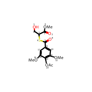 COC(=O)C(CO)SC(=O)c1cc(OC)c(OC(C)=O)c(OC)c1